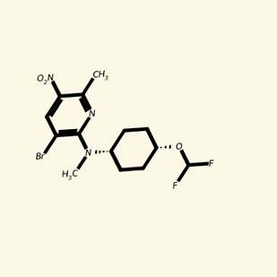 Cc1nc(N(C)[C@H]2CC[C@@H](OC(F)F)CC2)c(Br)cc1[N+](=O)[O-]